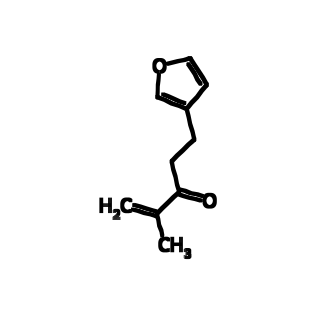 C=C(C)C(=O)CCc1ccoc1